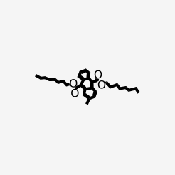 CCCCCCCCOC(=O)c1c2ccccc2c(C(=O)OCCCCCCCC)c2cc(C)ccc12